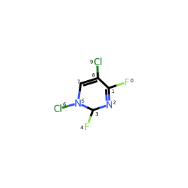 FC1=NC(F)N(Cl)C=C1Cl